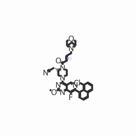 COc1nc(N2CCN(C(=O)/C=C/CN3C4COCC3C4)[C@@H](CC#N)C2)c2cnc(-c3cccc4cccc(Cl)c34)c(F)c2n1